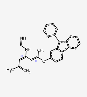 C=C(C)/C=C(\C=C(/C)Oc1ccc2c3ccccc3n(-c3ccccn3)c2c1)NC=N